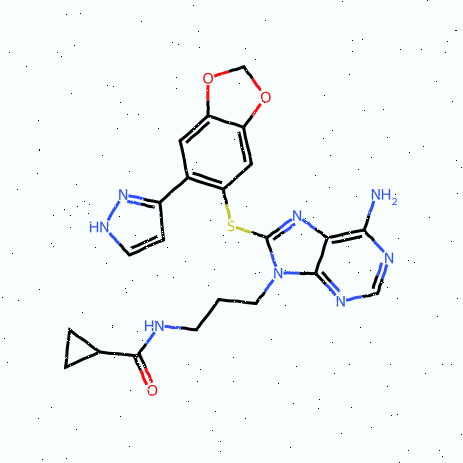 Nc1ncnc2c1nc(Sc1cc3c(cc1-c1cc[nH]n1)OCO3)n2CCCNC(=O)C1CC1